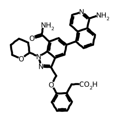 NC(=O)c1cc(-c2cccc3c(N)nccc23)cc2c(COc3ccccc3CC(=O)O)nn(C3CCCCO3)c12